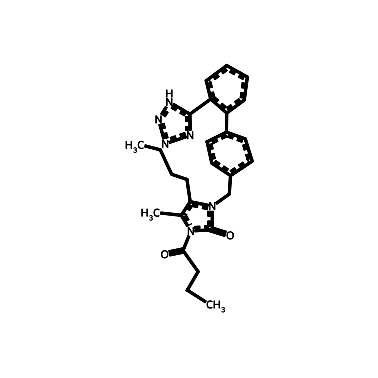 CCCCc1c(C)n(C(=O)CCC)c(=O)n1Cc1ccc(-c2ccccc2-c2nnn[nH]2)cc1